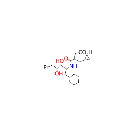 CC(C)C[C@H](O)[C@H](O)[C@H](CC1CCCCC1)NC(=O)[C@@H](CC(=O)O)CC1CC1